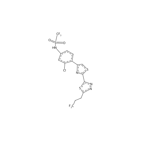 O=S(=O)(Nc1ccc(-c2csc(-c3nnc(CCC(F)(F)F)s3)n2)c(Cl)c1)C(F)(F)F